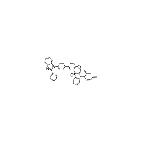 C=C/C=C\c1cc2c(cc1C)Oc1ccc(-c3ccc(-n4c(-c5ccccc5)nc5ccccc54)cc3)cc1P2(=O)c1ccccc1